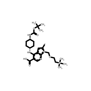 CC(C)(C)OC(=O)N[C@H]1CC[C@H](Nc2c(C(=O)O)cnc3c2cc(I)n3COCC[Si](C)(C)C)CC1